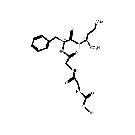 CSCC[C@H](NC(=O)[C@H](Cc1ccccc1)NC(=O)CNC(=O)CNC(=O)OC(C)(C)C)C(=O)O